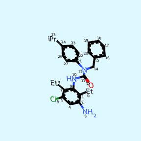 CCc1c(N)cc(Cl)c(CC)c1NC(=O)N(Cc1ccccc1)c1ccc(C(C)C)cc1